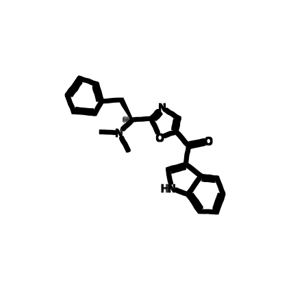 CN(C)[C@@H](Cc1ccccc1)c1ncc(C(=O)c2c[nH]c3ccccc23)o1